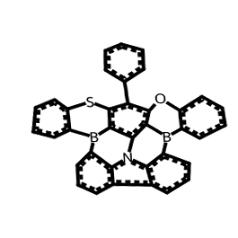 c1ccc(-c2c3c4c5c6c2Sc2ccccc2B6c2cccc6c7cccc(c7n-5c26)B4c2ccccc2O3)cc1